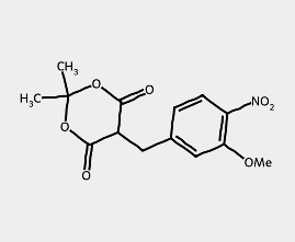 COc1cc(CC2C(=O)OC(C)(C)OC2=O)ccc1[N+](=O)[O-]